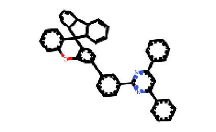 C1=CC2C3C=CC=CC3C3(c4ccccc4Oc4cc(-c5cccc(-c6nc(-c7ccccc7)cc(-c7ccccc7)n6)c5)ccc43)C2C=C1